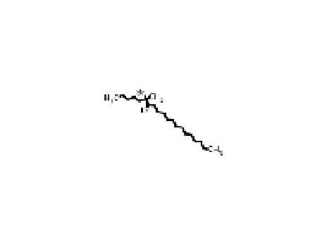 CCCCCCCCCCCCCC(=O)C(C)(Br)CCCCC